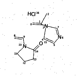 C=C(C)n1ccnc1.C=CN1CCCC1=O.Cl